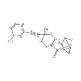 O=C1C2CC3C1C3C2C(=O)N1CCC(O)(C#Cc2cccc(Cl)c2)CC1